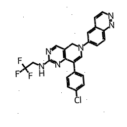 FC(F)(F)CNc1ncc2c(n1)C(c1ccc(Cl)cc1)=CN(c1ccc3nnccc3c1)C2